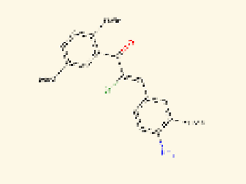 COc1ccc(OC)c(C(=O)C(Br)=Cc2ccc(N)c(OC)c2)c1